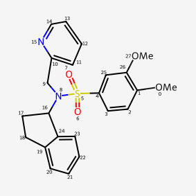 COc1ccc(S(=O)(=O)N(Cc2ccccn2)C2CCc3ccccc32)cc1OC